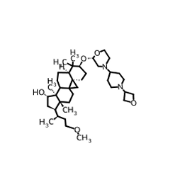 COCC[C@@H](C)[C@H]1C[C@H](O)[C@@]2(C)C3CC[C@H]4C(C)(C)[C@@H](O[C@H]5CN(C6CCN(C7COC7)CC6)CCO5)CC[C@@]45CC35CC[C@]12C